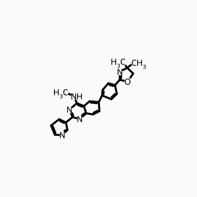 CNc1nc(-c2cccnc2)nc2ccc(-c3ccc(C4=NC(C)(C)CO4)cc3)cc12